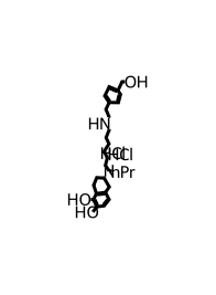 CCCN(CCCCCCNCCc1ccc(CO)cc1)C1CCc2c(ccc(O)c2O)C1.Cl.Cl